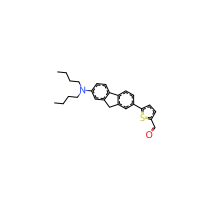 CCCCN(CCCC)c1ccc2c(c1)Cc1cc(-c3ccc(C=O)s3)ccc1-2